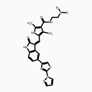 CCN(CC)CCNC(=O)c1c(C)[nH]c(/C=C2\C(=O)Nc3ccc(-c4csc(-n5cccn5)n4)cc32)c1C